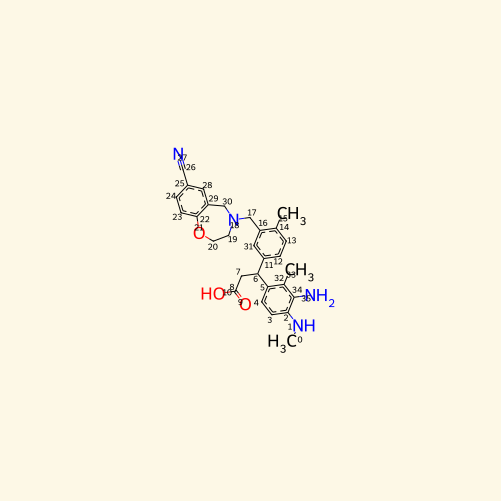 CNc1ccc(C(CC(=O)O)c2ccc(C)c(CN3CCOc4ccc(C#N)cc4C3)c2)c(C)c1N